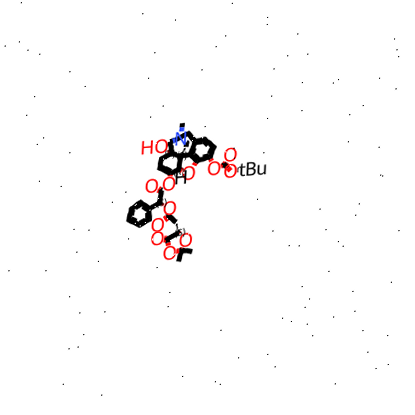 CN1CC[C@]23c4c5ccc(OC(=O)OC(C)(C)C)c4O[C@H]2C(OC(=O)[C@@H](OC(=O)C[C@@H]2OC(C)(C)OC2=O)c2ccccc2)=CC[C@]3(O)C1C5